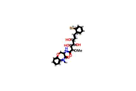 CO[C@@H](C(=O)NC1COc2ccccc2N(C)C1=O)[C@H](O)[C@@H](O)[C@H](O)/C=C/c1ccccc1Br